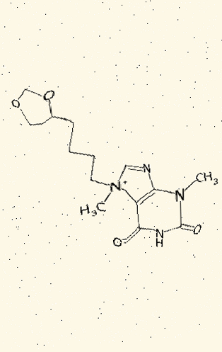 Cn1c2c(c(=O)[nH]c1=O)[N+](C)(CCCCC1COCO1)C=N2